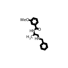 COc1cccc(C(=O)NC(C)CNCc2ccccc2)c1